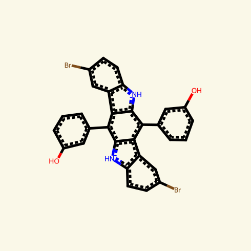 Oc1cccc(-c2c3[nH]c4ccc(Br)cc4c3c(-c3cccc(O)c3)c3[nH]c4ccc(Br)cc4c23)c1